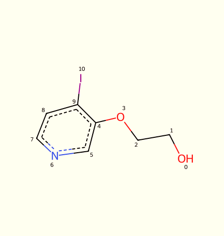 OCCOc1cnccc1I